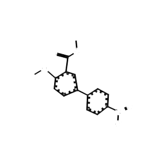 COC(=O)c1cc(-c2ccc([N+](=O)[O-])cc2)ccc1OC